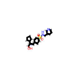 O=S(=O)(NCc1cccnc1)c1ccc(/C=C(/CO)C2CCCC2)cc1